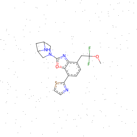 COC(F)(F)Cc1ccc(-c2nccs2)c2oc(N3CC4CC(C3)N4)nc12